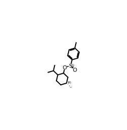 Cc1ccc([S@@](=O)OC2C[C@H](C)CCC2C(C)C)cc1